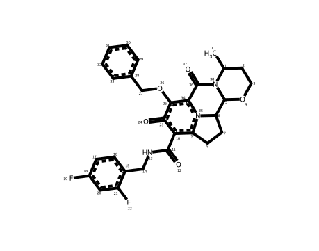 CC1CCOC2C3CCc4c(C(=O)NCc5ccc(F)cc5F)c(=O)c(OCc5ccccc5)c(n43)C(=O)N12